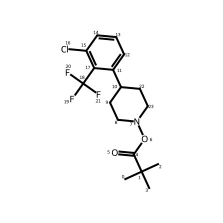 CC(C)(C)C(=O)ON1CCC(c2cccc(Cl)c2C(F)(F)F)CC1